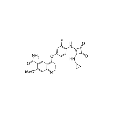 COc1cc2nccc(Oc3ccc(Nc4c(NC5CC5)c(=O)c4=O)c(F)c3)c2cc1C(N)=O